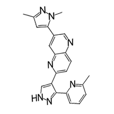 Cc1cccc(-c2n[nH]cc2-c2ccc3ncc(-c4cc(C)nn4C)cc3n2)n1